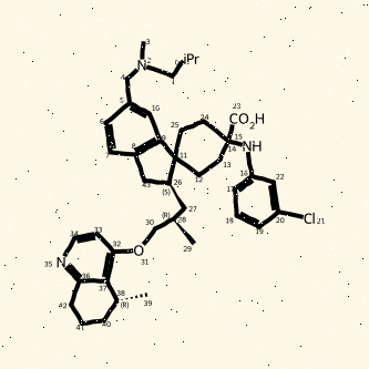 CC(C)CN(C)Cc1ccc2c(c1)C1(CCC(Nc3cccc(Cl)c3)(C(=O)O)CC1)[C@@H](C[C@@H](C)COc1ccnc3c1[C@H](C)CCC3)C2